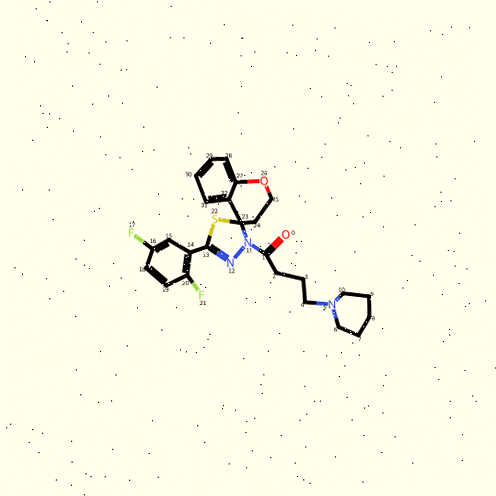 O=C(CCCN1CCCCC1)N1N=C(c2cc(F)ccc2F)SC12CCOc1ccccc12